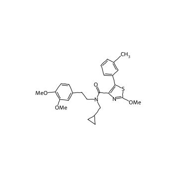 COc1nc(C(=O)N(CCc2ccc(OC)c(OC)c2)CC2CC2)c(-c2cccc(C)c2)s1